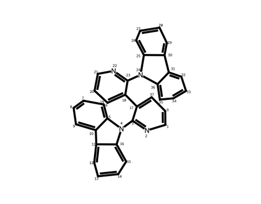 c1cnc(-n2c3ccccc3c3ccccc32)c(-c2cccnc2-n2c3ccccc3c3ccccc32)c1